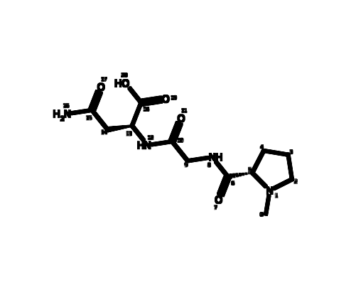 CN1CCC[C@H]1C(=O)NCC(=O)N[C@@H](CC(N)=O)C(=O)O